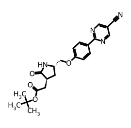 CC(C)(C)OC(=O)C[C@@H]1C[C@@H](COc2ccc(-c3ncc(C#N)cn3)cc2)NC1=O